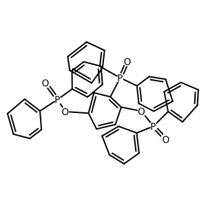 O=P(Oc1ccc(OP(=O)(c2ccccc2)c2ccccc2)c(P(=O)(c2ccccc2)c2ccccc2)c1)(c1ccccc1)c1ccccc1